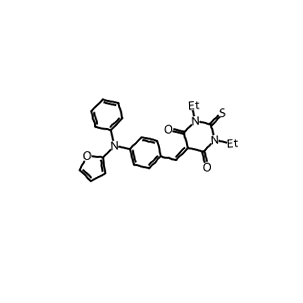 CCN1C(=O)C(=Cc2ccc(N(c3ccccc3)c3ccco3)cc2)C(=O)N(CC)C1=S